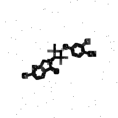 CC1(C)[C@H](Oc2ccc(C#N)c(Cl)c2)C(C)(C)[C@H]1N1Cc2nc(Cl)ccc2C1=O